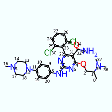 CC(COc1nc(Nc2ccc(N3CCN(C)CC3)cc2)nc(-c2c(Cl)cccc2Cl)c1C(N)=O)N(C)C